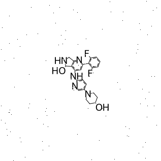 OC1CCN(c2ccc(Nc3cc(-c4c(F)cccc4F)nc4c3C(O)NC4)nc2)CC1